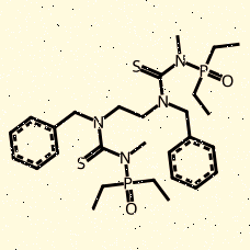 CCP(=O)(CC)N(C)C(=S)N(CCN(Cc1ccccc1)C(=S)N(C)P(=O)(CC)CC)Cc1ccccc1